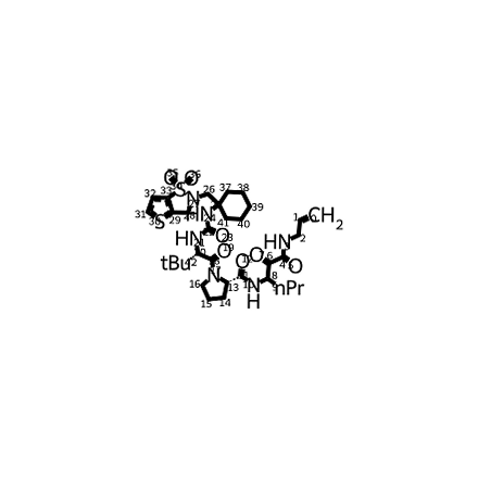 C=CCNC(=O)C(=O)C(CCC)NC(=O)[C@@H]1CCCN1C(=O)[C@@H](NC(=O)NC1(CN2Cc3sccc3S2(=O)=O)CCCCC1)C(C)(C)C